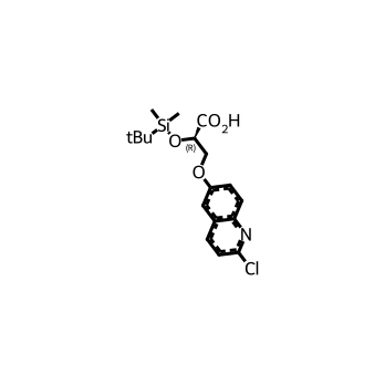 CC(C)(C)[Si](C)(C)O[C@H](COc1ccc2nc(Cl)ccc2c1)C(=O)O